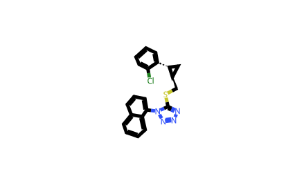 Clc1ccccc1[C@@H]1C[C@H]1CSc1nnnn1-c1cccc2ccccc12